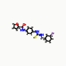 O=C(Nc1ccc(NC(=S)NCc2cccc(I)c2)cc1)c1ccco1